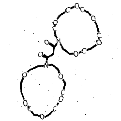 O=C(CC(=O)N1CCOCCOCCOCCOCCOCC1)N1CCOCCOCCOCCOCCOCC1